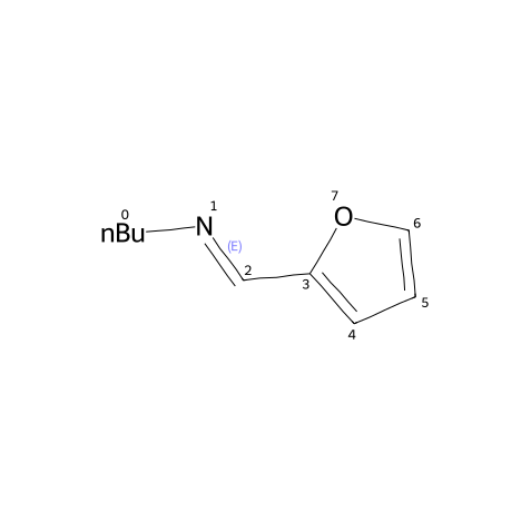 CCCC/N=C/c1ccco1